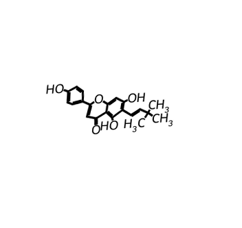 CC(C)(C)/C=C/c1c(O)cc2oc(-c3ccc(O)cc3)cc(=O)c2c1O